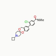 CNC(=O)c1ccc(-c2ccc3c(c2)COC2(CCN(C4CCC4)CC2)O3)c(Cl)c1